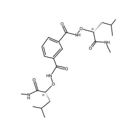 CNC(=O)[C@@H](CC(C)C)ONC(=O)c1cccc(C(=O)NO[C@H](CC(C)C)C(=O)NC)c1